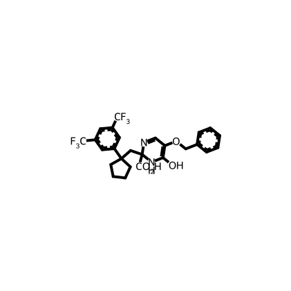 O=C(O)C1(CC2(c3cc(C(F)(F)F)cc(C(F)(F)F)c3)CCCC2)N=CC(OCc2ccccc2)=C(O)N1